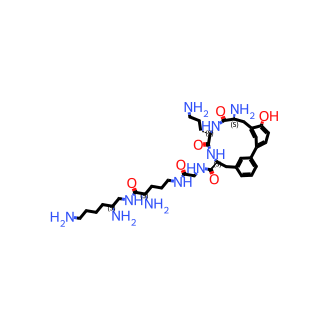 NCCCC[C@H](N)CNC(=O)[C@@H](N)CCCNC(=O)CNC(=O)[C@@H]1Cc2cccc(c2)-c2ccc(O)c(c2)C[C@H](N)C(=O)N[C@@H](CCCN)C(=O)N1